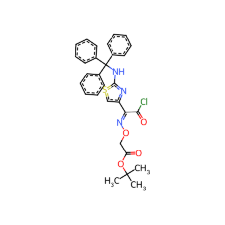 CC(C)(C)OC(=O)CO/N=C(\C(=O)Cl)c1csc(NC(c2ccccc2)(c2ccccc2)c2ccccc2)n1